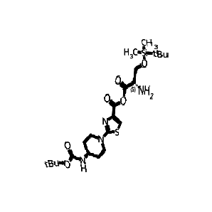 CC(C)(C)OC(=O)NC1CCN(c2nc(C(=O)OC(=O)[C@@H](N)CO[Si](C)(C)C(C)(C)C)cs2)CC1